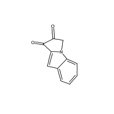 O=C1Cn2c(cc3ccccc32)C1=O